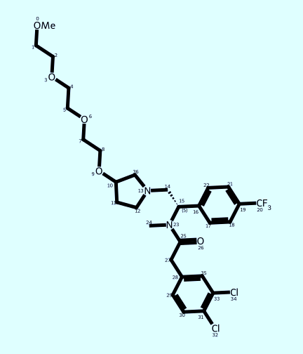 COCCOCCOCCOC1CCN(C[C@H](c2ccc(C(F)(F)F)cc2)N(C)C(=O)Cc2ccc(Cl)c(Cl)c2)C1